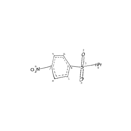 CCCS(=O)(=O)c1ccc([N+](=O)[O-])cc1